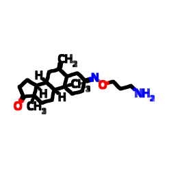 C=C1C[C@@H]2[C@@H](CC[C@]3(C)C(=O)CC[C@@H]23)[C@@]2(C)CCC(=NOCCCN)CC12